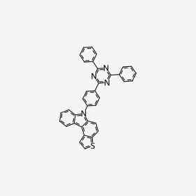 c1ccc(-c2nc(-c3ccccc3)nc(-c3ccc(-n4c5ccccc5c5c6ccsc6ccc54)cc3)n2)cc1